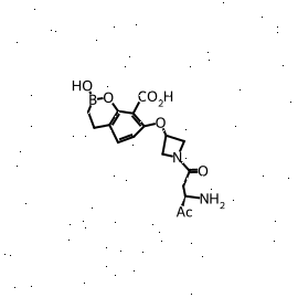 CC(=O)[C@H](N)CC(=O)N1CC(Oc2ccc3c(c2C(=O)O)OB(O)CC3)C1